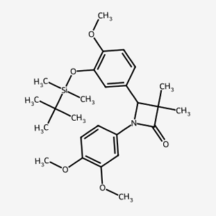 COc1ccc(N2C(=O)C(C)(C)C2c2ccc(OC)c(O[Si](C)(C)C(C)(C)C)c2)cc1OC